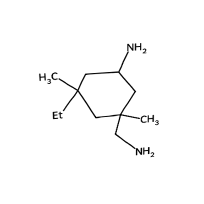 CCC1(C)CC(N)CC(C)(CN)C1